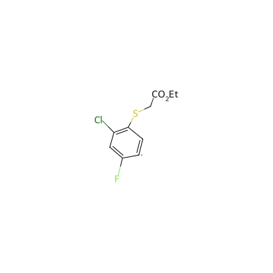 CCOC(=O)CSc1c[c]c(F)cc1Cl